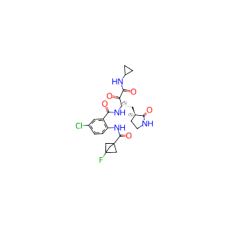 O=C(NC1CC1)C(=O)[C@H](C[C@@H]1CCNC1=O)NC(=O)c1cc(Cl)ccc1NC(=O)C12CC(F)(C1)C2